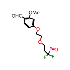 COc1cc(OCCOCCC(F)(F)P=O)ccc1C=O